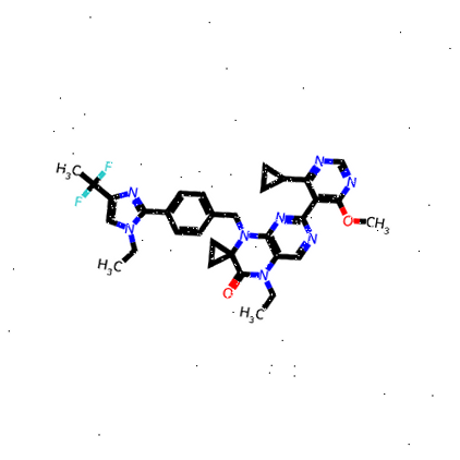 CCN1C(=O)C2(CC2)N(Cc2ccc(-c3nc(C(C)(F)F)cn3CC)cc2)c2nc(-c3c(OC)ncnc3C3CC3)ncc21